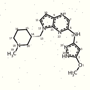 COc1cc(Nc2cnc3ccn(C[C@H]4CCCN(C)C4)c3n2)n[nH]1